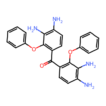 Nc1ccc(C(=O)c2ccc(N)c(N)c2Oc2ccccc2)c(Oc2ccccc2)c1N